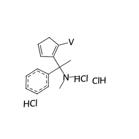 CN(C)C(C)(C1=[C]([V])CC=C1)c1ccccc1.Cl.Cl.Cl